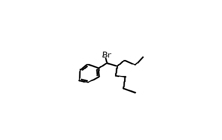 CCCCC(CCC)C(Br)c1ccccc1